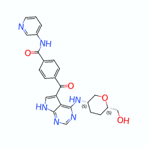 O=C(Nc1cccnc1)c1ccc(C(=O)c2c[nH]c3ncnc(N[C@H]4CC[C@@H](CO)OC4)c23)cc1